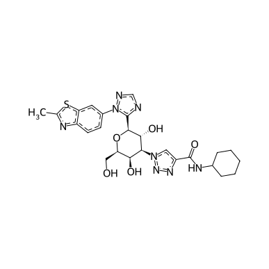 Cc1nc2ccc(-n3ncnc3[C@@H]3O[C@H](CO)[C@H](O)[C@H](n4cc(C(=O)NC5CCCCC5)nn4)[C@H]3O)cc2s1